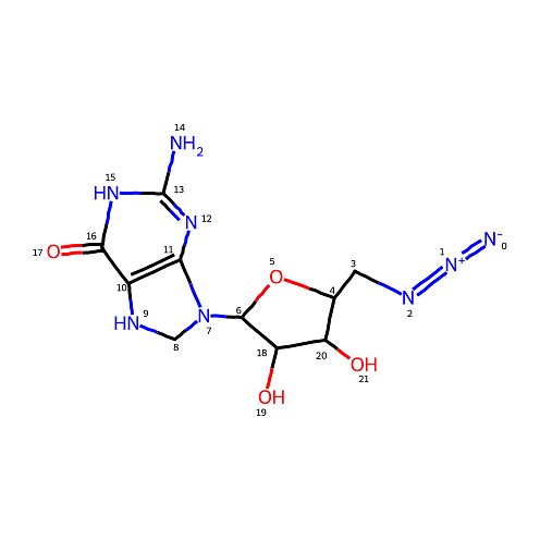 [N-]=[N+]=NCC1OC(N2CNc3c2nc(N)[nH]c3=O)C(O)C1O